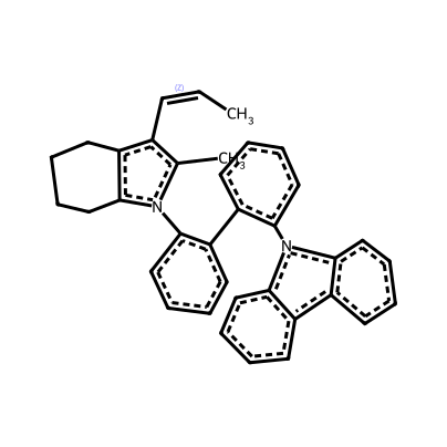 C/C=C\c1c2c(n(-c3ccccc3-c3ccccc3-n3c4ccccc4c4ccccc43)c1C)CCCC2